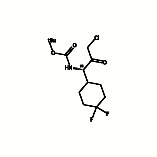 CC(C)(C)OC(=O)N[C@H](C(=O)CCl)C1CCC(F)(F)CC1